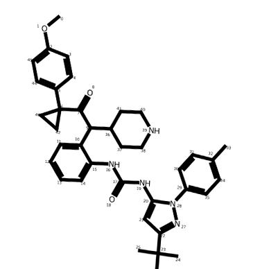 COc1ccc(C2(C(=O)C(c3ccccc3NC(=O)Nc3cc(C(C)(C)C)nn3-c3ccc(C)cc3)C3CCNCC3)CC2)cc1